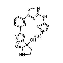 Cn1ccc(Nc2nccc(-c3cccc(-c4cc([C@]5(O)CCNC5=O)on4)n3)n2)n1